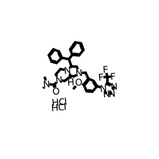 COc1ccc(-n2nnnc2C(F)(F)F)cc1CN1CC(C(c2ccccc2)c2ccccc2)N2CCN(C(=O)N(C)C)C[C@H]2C1.Cl.Cl